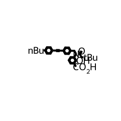 CCCCc1ccc(C#Cc2ccc(CN(C(=O)CC(C)(C)C)c3cccc(C(=O)O)c3O)cc2)cc1